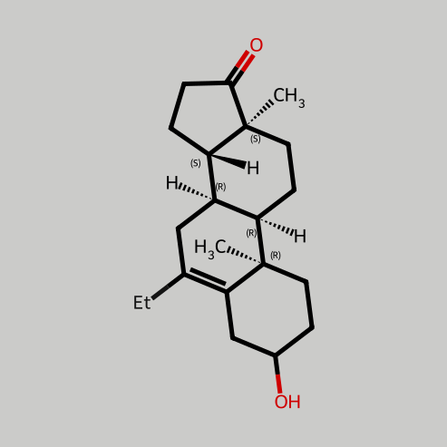 CCC1=C2CC(O)CC[C@]2(C)[C@@H]2CC[C@]3(C)C(=O)CC[C@H]3[C@@H]2C1